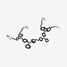 CCCCc1ccc2c(c1)c1cc(CCCC)ccc1n2-c1ccc(N(c2ccccc2)c2ccc(/C=C/c3ccc(N(c4ccccc4)c4ccc(-n5c6ccc(CCCC)cc6c6cc(CCCC)ccc65)cc4)cc3)cc2)cc1